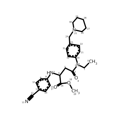 CCN(C(=O)CC(Nc1ccc(C#N)cc1)C(=O)OC)c1ccc(CN2CCCCC2)cc1